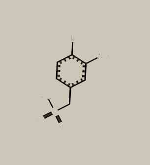 O=[N+]([O-])c1cc(CS(=O)(=O)Cl)ccc1F